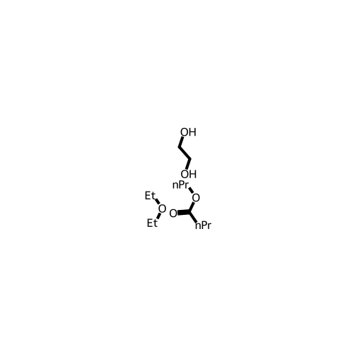 CCCOC(=O)CCC.CCOCC.OCCO